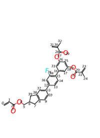 C=CC(=O)OCC1Cc2ccc(-c3ccc(-c4cc(OC(=O)C(=C)C)cc(OC(=O)C(=C)C)c4)c(F)c3)cc2C1